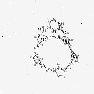 C1=Cc2cc3ccc([nH]3)c3ccc(cc4nc(cc5ccc(cc1n2)[nH]5)C=C4)[nH]3.Nc1cc[nH]c(=O)n1